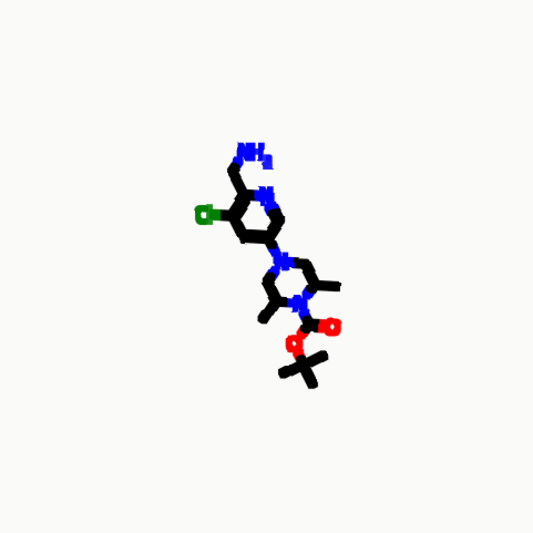 CC1CN(c2cnc(CN)c(Cl)c2)CC(C)N1C(=O)OC(C)(C)C